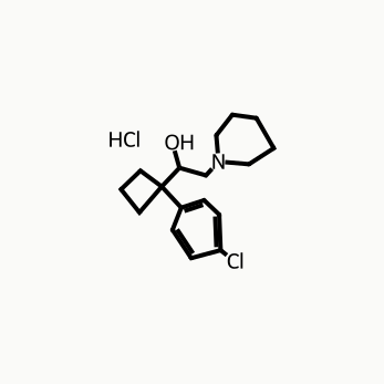 Cl.OC(CN1CCCCC1)C1(c2ccc(Cl)cc2)CCC1